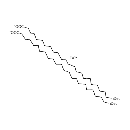 CCCCCCCCCCCCCCCCCCCCCCCCCCCCCCCCC(=O)[O-].CCCCCCCCCCCCCCCCCCCCCCCCCCCCCCCCC(=O)[O-].[Ca+2]